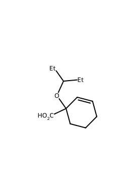 CCC(CC)OC1(C(=O)O)C=CCCC1